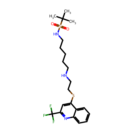 CC(C)(C)S(=O)(=O)NCCCCCNCCSc1cc(C(F)(F)F)nc2ccccc12